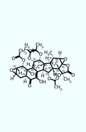 CC(=O)O[C@H]1[C@@H]2[C@H]([C@H](C)[C@H]3O[C@]34OC(=O)[C@@](C)(O)[C@]24C)[C@]2(C)[C@@H]1C1=C(O)C(=O)[C@H]3C[C@@H]4O[C@@H]4[C@H](OC(C)=O)[C@]3(C)[C@H]1[C@H](OC(C)=O)[C@@H]2OC(C)=O